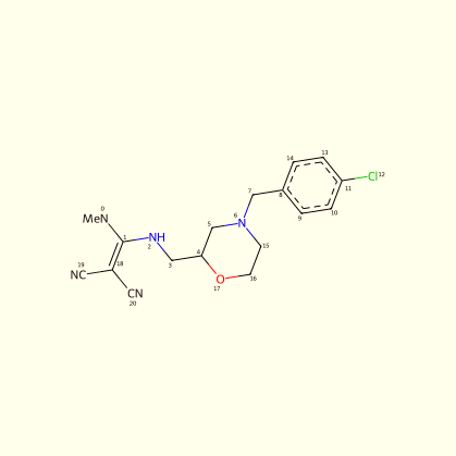 CNC(NCC1CN(Cc2ccc(Cl)cc2)CCO1)=C(C#N)C#N